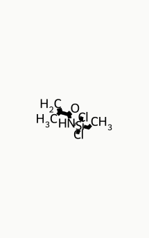 C=C(C)C(=O)N[Si](Cl)(Cl)CC